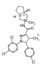 CC1C(C(=O)N[N+]2(C)C[C@H]3CCC[C@@H]3C2)=NN(c2ccc(Cl)cc2Cl)C1c1ccc(Cl)cc1.[I-]